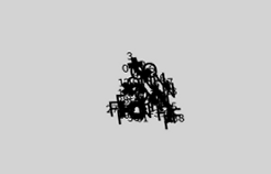 CC(C)(C)OC(=O)N(C(=O)OC(C)(C)C)c1ncnc2c1c(Oc1cc(C(F)(F)F)ccn1)nn2CC(F)(F)F